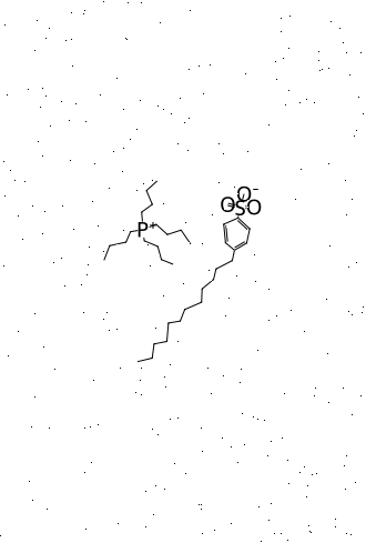 CCCCCCCCCCCCc1ccc(S(=O)(=O)[O-])cc1.CCCC[P+](CCCC)(CCCC)CCCC